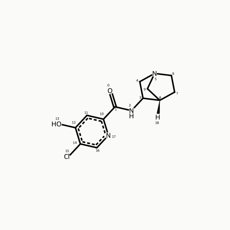 O=C(NC1CN2CC[C@H]1C2)c1cc(O)c(Cl)cn1